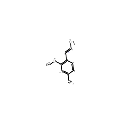 C/C=C/c1ccc(C)nc1OC(C)C